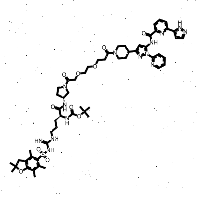 Cc1c(C)c(S(=O)(=O)NC(=N)NCCC[C@H](NC(=O)OC(C)(C)C)C(=O)N[C@@H]2CCN(C(=O)COCCOCCC(=O)N3CCC(c4cc(NC(=O)c5cccc(-c6ccn[nH]6)n5)n(-c5ccccn5)n4)CC3)C2)c(C)c2c1OC(C)(C)C2